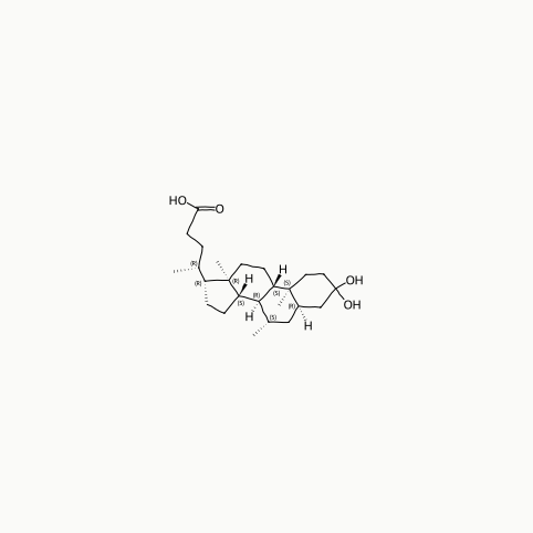 C[C@H](CCC(=O)O)[C@H]1CC[C@H]2[C@@H]3[C@@H](C)C[C@@H]4CC(O)(O)CC[C@]4(C)[C@H]3CC[C@]12C